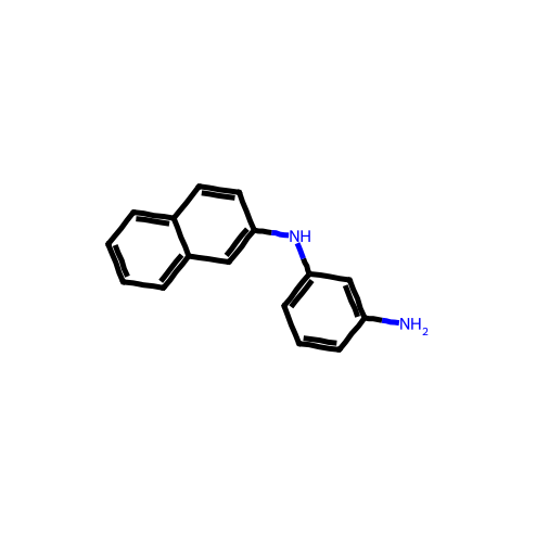 Nc1cccc(Nc2ccc3ccccc3c2)c1